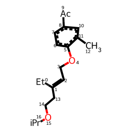 CC/C(=C\COc1ccc(C(C)=O)cc1C)CCOC(C)C